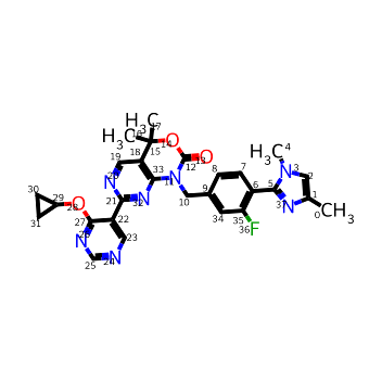 Cc1cn(C)c(-c2ccc(CN3C(=O)OC(C)(C)c4cnc(-c5cncnc5OC5CC5)nc43)cc2F)n1